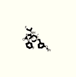 CC(CF)NC1=NC(=O)N(c2cccc(F)c2)[C@@]12CCN(Cc1cccc(OC(C)C)c1)[C@@H](C)C2